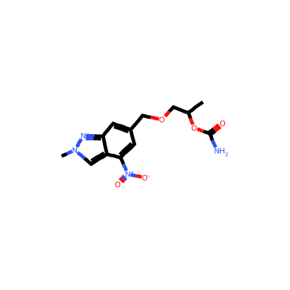 CC(COCc1cc([N+](=O)[O-])c2cn(C)nc2c1)OC(N)=O